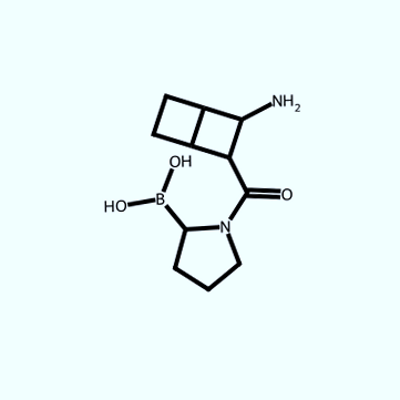 NC1C2CCC2C1C(=O)N1CCCC1B(O)O